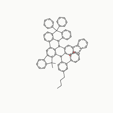 CCCCc1ccc(N2c3cc4sc5ccccc5c4cc3B3c4c(cc5c(c42)C(C)(C)c2ccccc2-5)-c2cccc4c2N3c2ccccc2C4(c2ccccc2)c2ccccc2)c(-c2ccccc2)c1